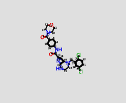 O=C(Nc1ccc(C(=O)N2CCOCC2)cc1)c1c2c3c(n1-2)NCCN3Cc1cc(Cl)ccc1Cl